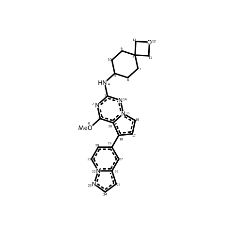 COc1nc(NC2CCC3(CC2)COC3)nn2ccc(-c3ccn4nccc4c3)c12